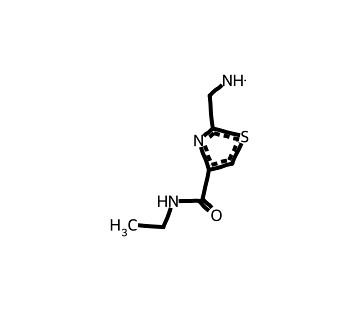 CCNC(=O)c1csc(C[NH])n1